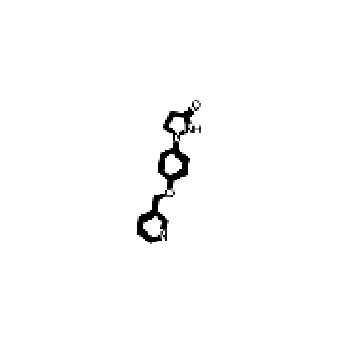 O=C1CCN(c2ccc(OCc3cccnc3)cc2)N1